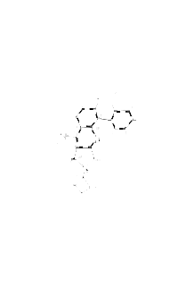 COc1ccccc1-c1c(F)ccc2c(N)c3c(nc12)CN(C1CCC1)C3=O